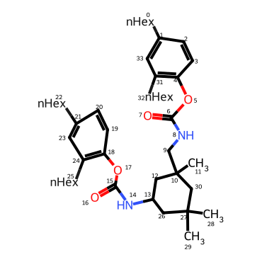 CCCCCCc1ccc(OC(=O)NCC2(C)CC(NC(=O)Oc3ccc(CCCCCC)cc3CCCCCC)CC(C)(C)C2)c(CCCCCC)c1